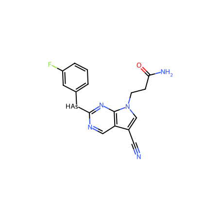 N#Cc1cn(CCC(N)=O)c2nc([AsH]c3cccc(F)c3)ncc12